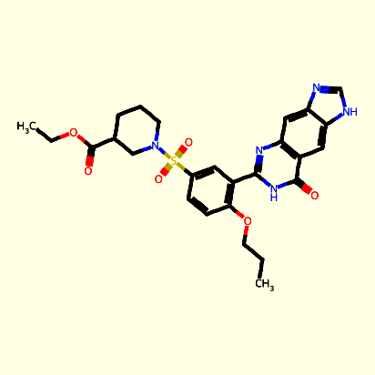 CCCOc1ccc(S(=O)(=O)N2CCCC(C(=O)OCC)C2)cc1-c1nc2cc3nc[nH]c3cc2c(=O)[nH]1